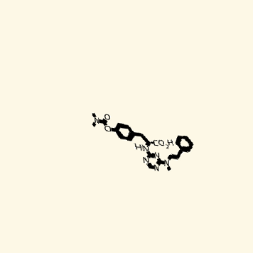 CN(C)C(=O)Oc1ccc(C[C@H](Nc2ncnc(N(C)CCc3ccccc3)n2)C(=O)O)cc1